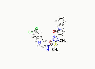 CC(Sc1nnc(-c2cccn(Cc3ccccc3)c2=O)n1C)C(=O)NC1CCN(Cc2ccc(Cl)c(Cl)c2)CC1